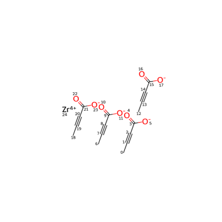 CC#CC(=O)[O-].CC#CC(=O)[O-].CC#CC(=O)[O-].CC#CC(=O)[O-].[Zr+4]